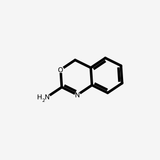 NC1=Nc2ccccc2CO1